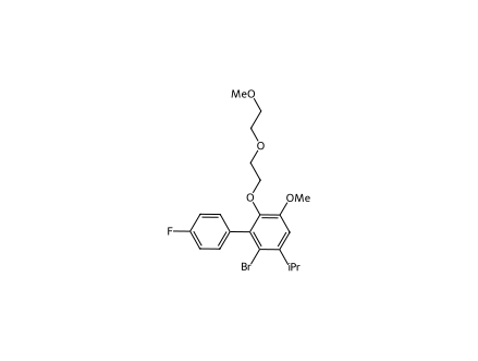 COCCOCCOc1c(OC)cc(C(C)C)c(Br)c1-c1ccc(F)cc1